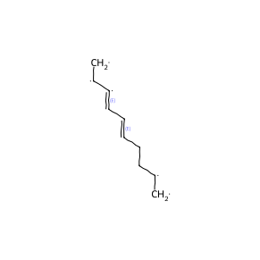 [CH2][CH]/[C]=C/C=C/CC[CH][CH2]